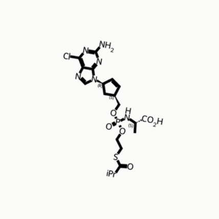 CC(C)C(=O)SCCOP(=O)(N[C@@H](C)C(=O)O)OC[C@@H]1C=C[C@H](n2cnc3c(Cl)nc(N)nc32)C1